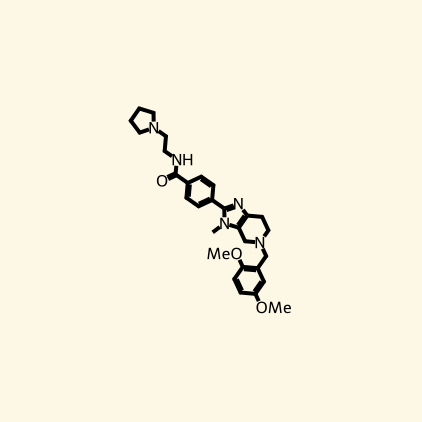 COc1ccc(OC)c(CN2CCc3nc(-c4ccc(C(=O)NCCN5CCCC5)cc4)n(C)c3C2)c1